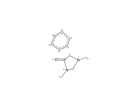 CN1CC(=O)N(C)C1.c1ccccc1